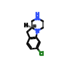 Clc1ccc2c(c1)N1CCNC[C@@H]1C2